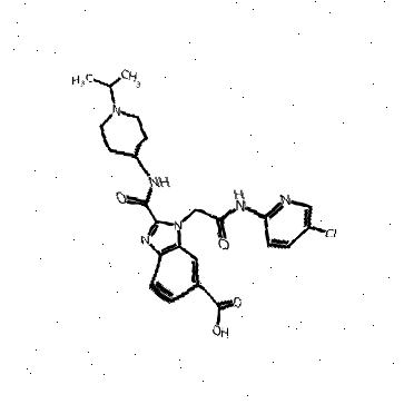 CC(C)N1CCC(NC(=O)c2nc3ccc(C(=O)O)cc3n2CC(=O)Nc2ccc(Cl)cn2)CC1